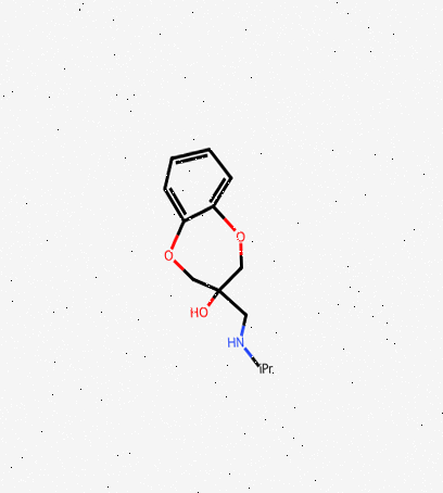 CC(C)NCC1(O)COc2ccccc2OC1